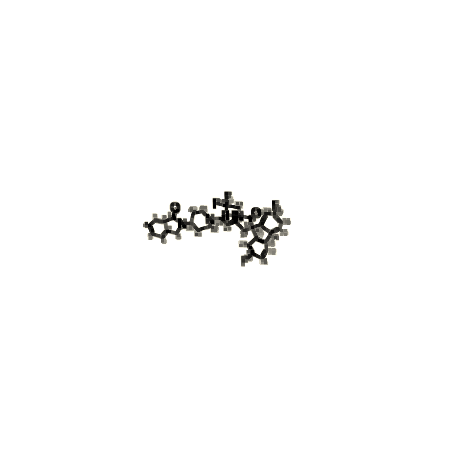 O=C1c2ccccc2CN1C1CCN(CC=CCC2(C(=O)NCC(F)(F)F)c3cc(F)ccc3-c3ccc(F)cc32)CC1